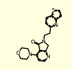 O=C1c2c(N3CCOCC3)ccnc2CN1CCc1ccc2sccc2n1